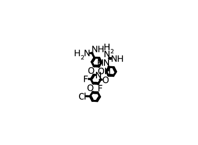 N=C(N)Nc1cccc(Oc2nc(Oc3cc(C(=N)N)ccc3O)c(F)c(Oc3ccccc3Cl)c2F)c1